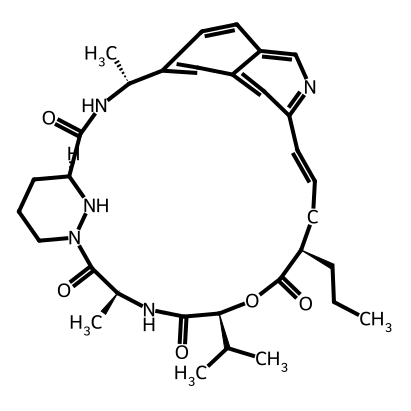 CCC[C@@H]1C/C=C/c2cc3cc(ccc3cn2)[C@@H](C)NC(=O)[C@@H]2CCCN(N2)C(=O)[C@H](C)NC(=O)[C@H](C(C)C)OC1=O